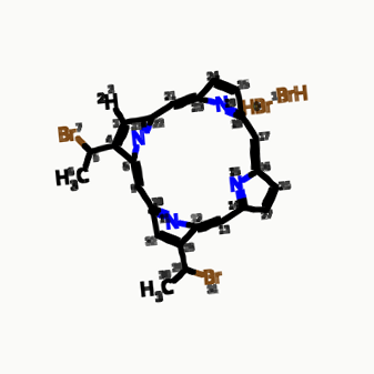 Br.Br.[2H]C1=C(C(C)Br)C2=CC3=NC(=CC4=NC(=CC5=NC(=CC1=N2)C=C5)C=C4)C(C(C)Br)=C3